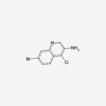 Nc1cnc2cc(Br)ccc2c1Cl